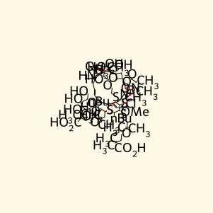 CCCCC(SCCC(C)(C)OCCC(C)(C)C(=O)O)C(SCCOC1OC(CO)C(O)C(O)C1O)C(SCCC(=O)N(C)[C@H](C)C(=O)O[C@]12CC(=O)N(C)c3cc(cc(OC)c3Cl)C/C(C)=C\C=C\CC3C[C@H](OC(=O)N3)[C@@H](C)[C@](C)(C1)C2)C(SCCC(C)(C)OCCC(C)(C)C(=O)O)C(CCCC)SCCOC1OC(CO)C(O)C(O)C1O